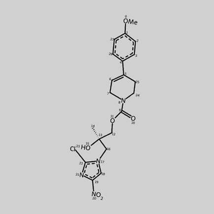 COc1ccc(C2=CCN(C(=O)OC[C@](C)(O)Cn3cc([N+](=O)[O-])nc3Cl)CC2)cc1